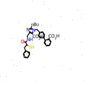 CCCCc1nc(CNC(=O)C(S)Cc2ccccc2)c(C(=O)O)n1Cc1ccc(-c2ccccc2C(=O)O)cc1